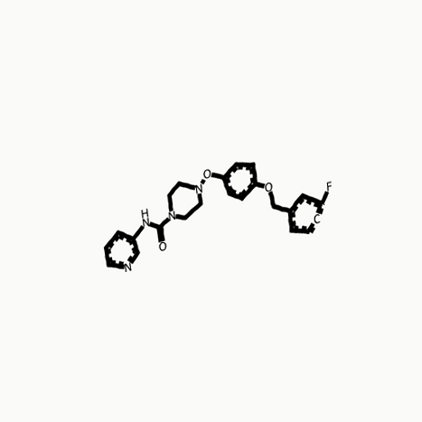 O=C(Nc1cccnc1)N1CCN(Oc2ccc(OCc3cccc(F)c3)cc2)CC1